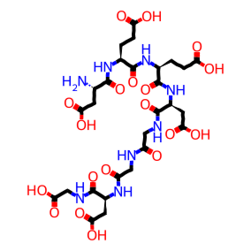 N[C@@H](CC(=O)O)C(=O)N[C@@H](CCC(=O)O)C(=O)N[C@@H](CCC(=O)O)C(=O)N[C@@H](CC(=O)O)C(=O)NCC(=O)NCC(=O)N[C@@H](CC(=O)O)C(=O)NCC(=O)O